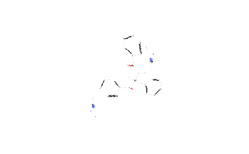 CC(C(=O)c1ccc(OC#N)cc1)(c1ccccc1)C(OC#N)C(=O)c1ccccc1